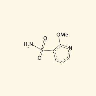 COc1ncccc1S(N)(=O)=O